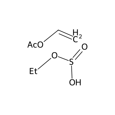 C=COC(C)=O.CCOS(=O)O